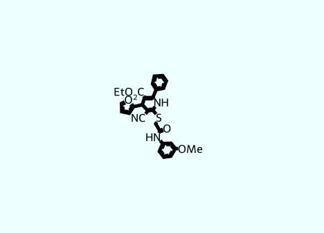 CCOC(=O)C1=C(c2ccccc2)NC(SCC(=O)Nc2cccc(OC)c2)=C(C#N)C1c1ccco1